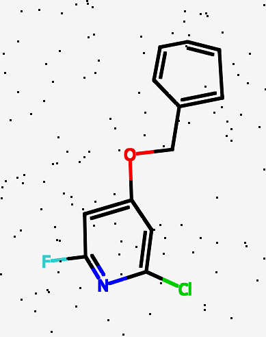 Fc1cc(OCc2ccccc2)cc(Cl)n1